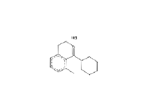 Cc1cccc2c1C(C1CCCCC1)=NCC2.Cl